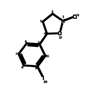 ClN1[CH]CC(c2cccc(I)c2)O1